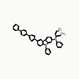 C/C=C\C(=C/C)N(c1ccccc1)c1ccc2c3cc(-c4ccc(-c5ccc(-c6ccccc6)cc5)cc4)ccc3n(-c3ccccc3)c2c1